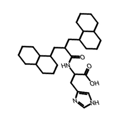 O=C(NC(Cc1c[nH]cn1)C(=O)O)C(CC1CCCC2CCCCC21)CC1CCCC2CCCCC21